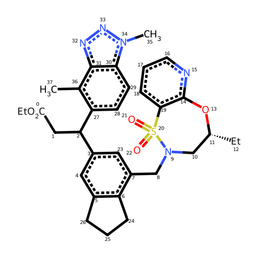 CCOC(=O)CC(c1cc2c(c(CN3C[C@@H](CC)Oc4ncccc4S3(=O)=O)c1)CCC2)c1ccc2c(nnn2C)c1C